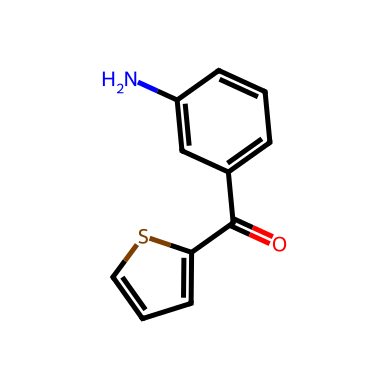 Nc1cccc(C(=O)c2cccs2)c1